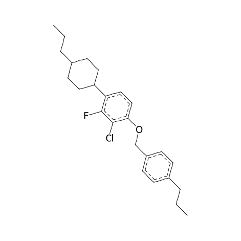 CCCc1ccc(COc2ccc(C3CCC(CCC)CC3)c(F)c2Cl)cc1